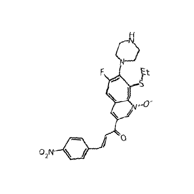 CCSc1c(N2CCNCC2)c(F)cc2cc(C(=O)C=Cc3ccc([N+](=O)[O-])cc3)c[n+]([O-])c12